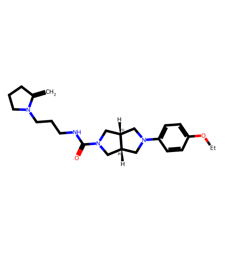 C=C1CCCN1CCCNC(=O)N1C[C@@H]2CN(c3ccc(OCC)cc3)C[C@@H]2C1